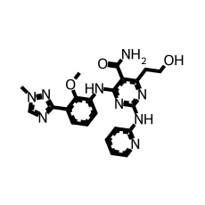 COc1c(Nc2nc(Nc3ccccn3)nc(CCO)c2C(N)=O)cccc1-c1ncn(C)n1